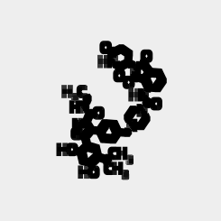 CCNC(=O)c1noc(-c2cc(C(C)C)c(O)cc2O)c1-c1ccc(CN2CCN(C(=O)Nc3cccc4c3C(=O)N(C3CCC(=O)NC3=O)C4=O)CC2)cc1